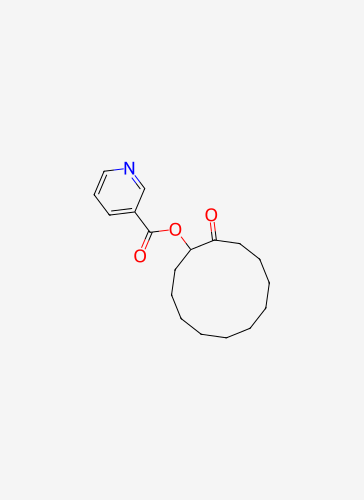 O=C(OC1CCCCCCCCCCC1=O)c1cccnc1